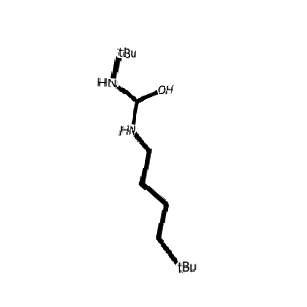 CC(C)(C)CCCCNC(O)NC(C)(C)C